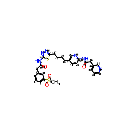 CS(=O)(=O)c1cccc(CC(=O)Nc2nnc(CCCCc3ccc(NC(=O)Cc4cccnc4)nc3)s2)c1